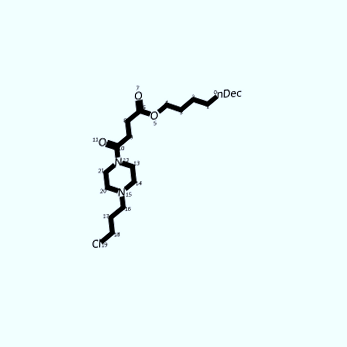 CCCCCCCCCCCCCCOC(=O)CCC(=O)N1CCN(CCCCl)CC1